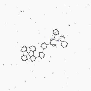 C=C(/N=C(\C=C(/N)C1C=CC=CC1)c1ccccc1)c1cccc(C2=CC(c3cccc4c3-c3ccccc3C43c4ccccc4-c4ccccc43)CC=C2)c1